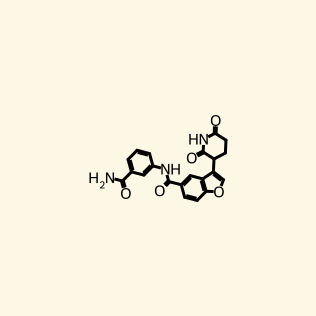 NC(=O)c1cccc(NC(=O)c2ccc3occ(C4CCC(=O)NC4=O)c3c2)c1